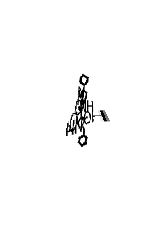 O=C(Nc1ccc(-c2ccccc2)nn1)C1=C(O)C(Cc2ccccc2)NC1=O